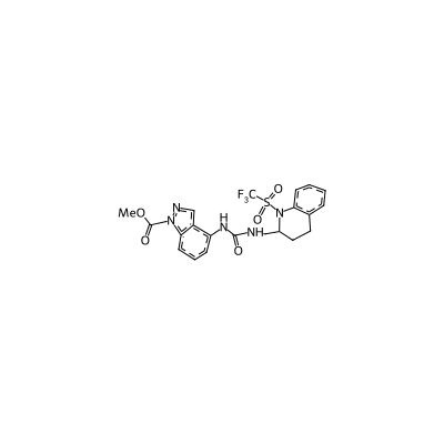 COC(=O)n1ncc2c(NC(=O)NCC3CCc4ccccc4N3S(=O)(=O)C(F)(F)F)cccc21